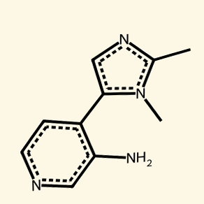 Cc1ncc(-c2ccncc2N)n1C